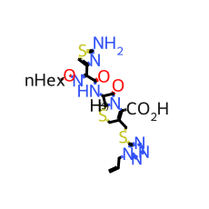 C=CCn1nnnc1SCC1=C(C(=O)O)N2C(=O)C(NC(=O)C(=NOCCCCCC)c3csc(N)n3)[C@@H]2SC1